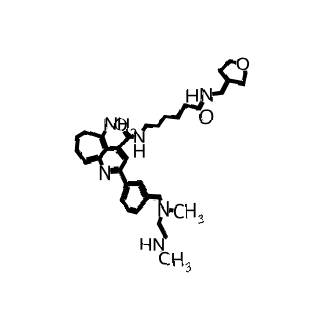 CNCCN(C)Cc1cccc(-c2cc(C(=O)NCCCCCC(=O)NCC3CCOCC3)c3c(n2)=CCCCC=3N)c1